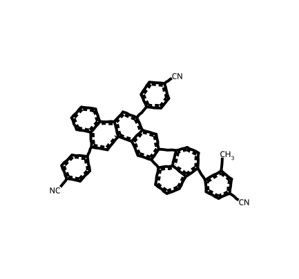 Cc1cc(C#N)ccc1-c1ccc2c3c(cccc13)-c1cc3c(cc1-2)c(-c1ccc(C#N)cc1)cc1c2ccccc2c(-c2ccc(C#N)cc2)cc31